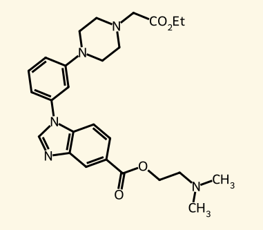 CCOC(=O)CN1CCN(c2cccc(-n3cnc4cc(C(=O)OCCN(C)C)ccc43)c2)CC1